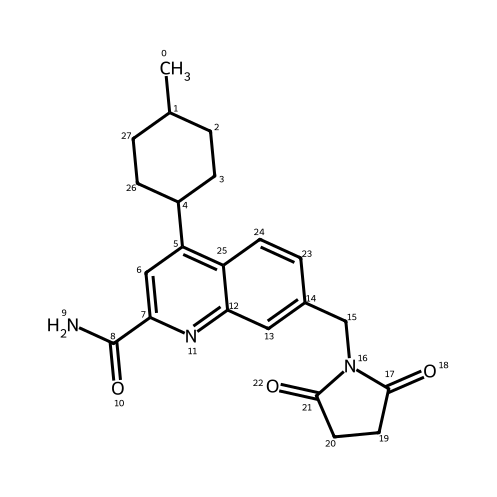 CC1CCC(c2cc(C(N)=O)nc3cc(CN4C(=O)CCC4=O)ccc23)CC1